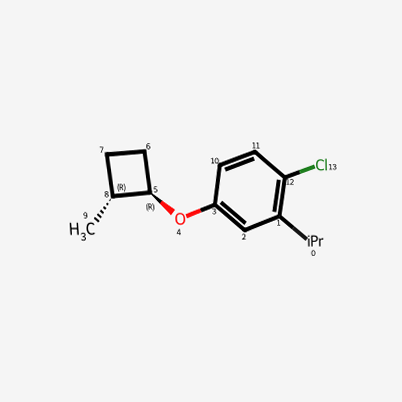 CC(C)c1cc(O[C@@H]2CC[C@H]2C)ccc1Cl